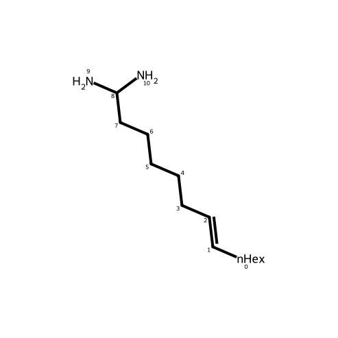 CCCCCCC=CCCCCCC(N)N